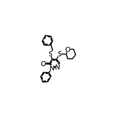 O=c1c(SCc2ccccc2)c(SC2CCCCO2)cnn1-c1ccccc1